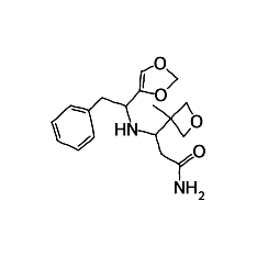 CC1(C(CC(N)=O)NC(Cc2ccccc2)C2=COCO2)COC1